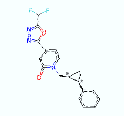 O=c1cc(-c2nnc(C(F)F)o2)ccn1C[C@H]1C[C@H]1c1ccccc1